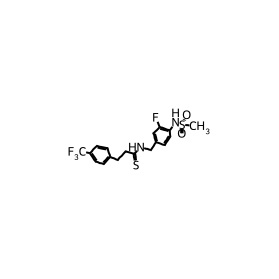 CS(=O)(=O)Nc1ccc(CNC(=S)CCc2ccc(C(F)(F)F)cc2)cc1F